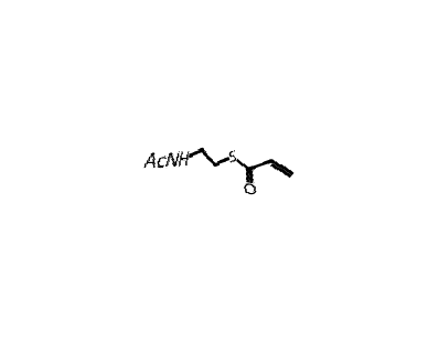 C=CC(=O)SCCNC(C)=O